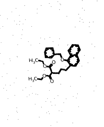 CCOC(=O)C(CCCc1ccc2ccccc2c1OCc1ccccc1)C(=O)OCC